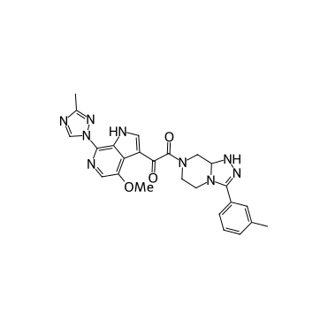 COc1cnc(-n2cnc(C)n2)c2[nH]cc(C(=O)C(=O)N3CCN4C(c5cccc(C)c5)=NNC4C3)c12